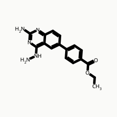 CCOC(=O)c1ccc(-c2ccc3nc(N)nc(NN)c3c2)cc1